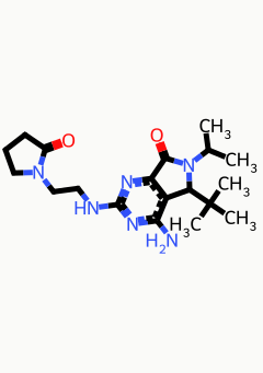 CC(C)N1C(=O)c2nc(NCCN3CCCC3=O)nc(N)c2C1C(C)(C)C